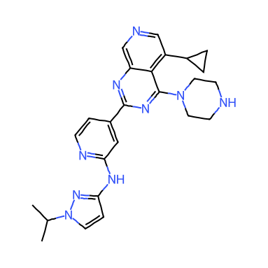 CC(C)n1ccc(Nc2cc(-c3nc(N4CCNCC4)c4c(C5CC5)cncc4n3)ccn2)n1